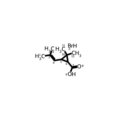 Br.CC(C)=CC1C(C(=O)O)C1(C)C